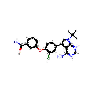 CC(C)(C)n1cc(-c2ccc(Oc3cccc(C(N)=O)c3)c(Cl)c2)c2c(N)ncnc21